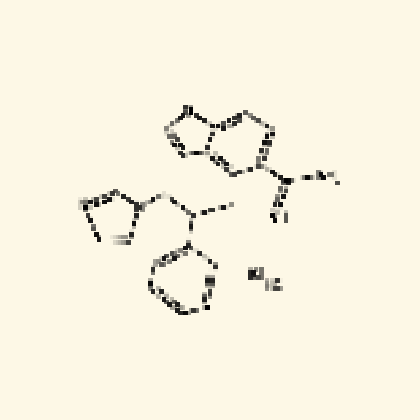 Cl.Cl.N=C(N)c1ccc2occc2c1CC(Cn1ccnc1)c1ccccc1